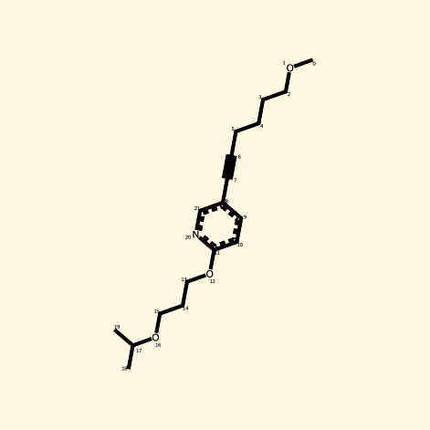 COCCCCC#Cc1ccc(OCCCOC(C)C)nc1